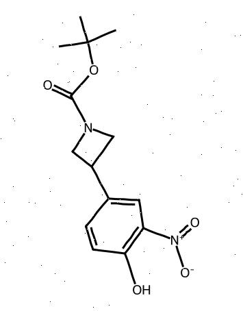 CC(C)(C)OC(=O)N1CC(c2ccc(O)c([N+](=O)[O-])c2)C1